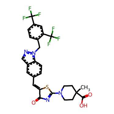 CC1(C(=O)O)CCN(C2=NC(=O)/C(=C/c3ccc4c(cnn4Cc4ccc(C(F)(F)F)cc4C(F)(F)F)c3)S2)CC1